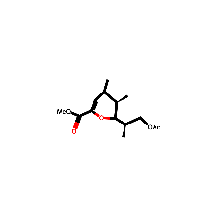 COC(=O)C1=CC(C)[C@@H](C)C([C@H](C)COC(C)=O)O1